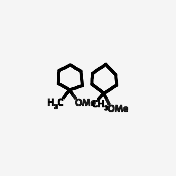 COC1(C)CCCCC1.COC1(C)CCCCC1